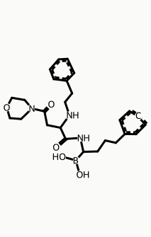 O=C(NC(CCCc1ccccc1)B(O)O)C(CC(=O)N1CCOCC1)NCCc1ccccc1